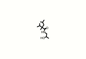 CC(C)CC(C)(C(=O)NCC(C)O)C(C)C